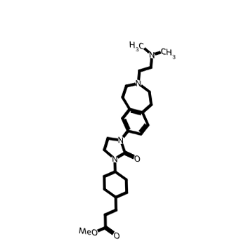 COC(=O)CCC1CCC(N2CCN(c3ccc4c(c3)CCN(CCN(C)C)CC4)C2=O)CC1